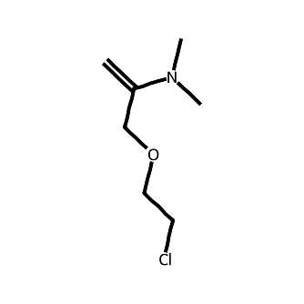 C=C(COCCCl)N(C)C